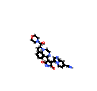 N#Cc1ccn2c(C3=C(C4=NC=CN5c6c(cccc64)CC5C(=O)N4CCOCC4)C(=O)NC3=O)cnc2c1